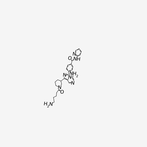 NCCCCC(=O)N1CCCC(C2=C3C=NC=C[N+]3(N)C(c3ccc(C(=O)Nc4ccccn4)cc3)=N2)C1